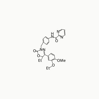 CCOc1cc(C2=NN(Cc3ccc(NC(=O)c4ncccn4)cc3)C(=O)OC2CC)ccc1OC